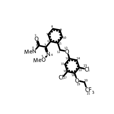 CNC(=O)C(=NOC)c1ccccc1COc1cc(Cl)c(OCC(F)(F)F)c(Cl)c1